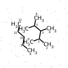 CC(C)C(C)C(C)C.CCCCC